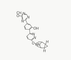 COc1ncnc(-c2ccc(-c3ccc(O[C@H]4CC5NC(C4)[C@@H]4C[C@H]54)nn3)c(O)c2)n1